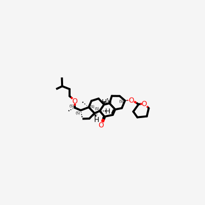 CC(C)CCO[C@@H](C)[C@H]1CC[C@H]2[C@@H]3C(=O)C=C4C[C@@H](OC5CCCCO5)CC[C@]4(C)[C@H]3CC[C@]12C